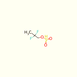 CC(F)(F)CO[SH](=O)=O